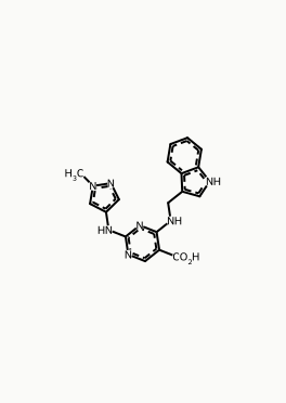 Cn1cc(Nc2ncc(C(=O)O)c(NCc3c[nH]c4ccccc34)n2)cn1